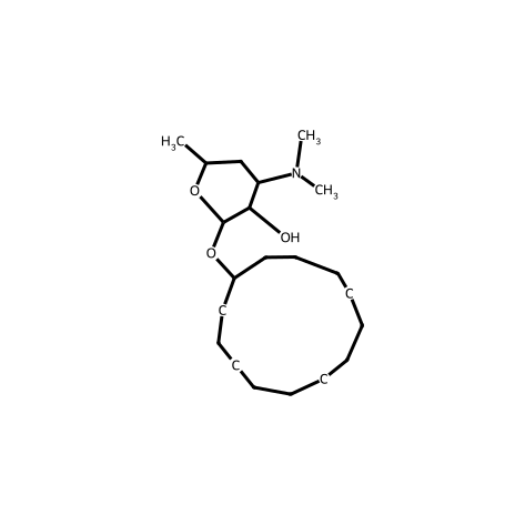 CC1CC(N(C)C)C(O)C(OC2CCCCCCCCCCCC2)O1